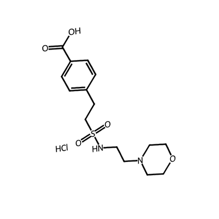 Cl.O=C(O)c1ccc(CCS(=O)(=O)NCCN2CCOCC2)cc1